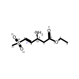 CCOC(=O)C[C@H](N)/C=C/S(C)(=O)=O